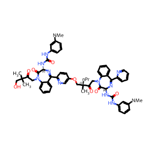 CCC[C@@](C)(COc1ccc(C2=N[C@@H](NC(=O)Nc3cccc(NC)c3)C(=O)N(CC(=O)C(C)(C)CO)c3ccccc32)nc1)C(=O)CN1C(=O)[C@H](NC(=O)Nc2cccc(NC)c2)N=C(c2ccccn2)c2ccccc21